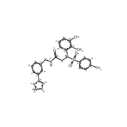 Cc1ccc(S(=O)(=O)N(CC(=O)NCc2cccc(-c3nn[nH]n3)c2)c2cccc(Cl)c2C)cc1